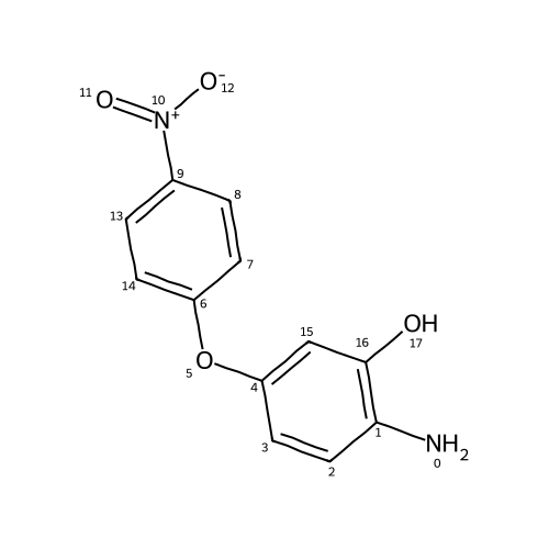 Nc1ccc(Oc2ccc([N+](=O)[O-])cc2)cc1O